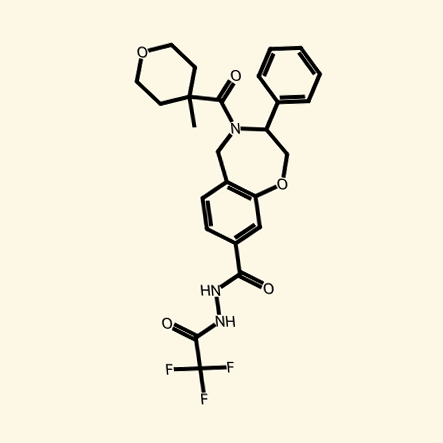 CC1(C(=O)N2Cc3ccc(C(=O)NNC(=O)C(F)(F)F)cc3OCC2c2ccccc2)CCOCC1